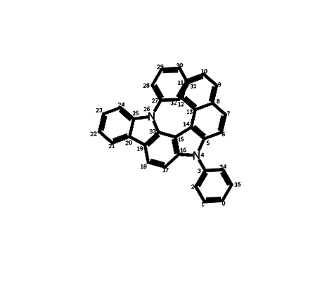 c1ccc(-n2c3ccc4ccccc4c3c3c2ccc2c4ccccc4n(-c4ccccc4)c23)cc1